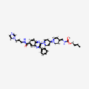 CCCCOC(=O)NCC1CCN(C2CCN(c3nc4ccc(C(=O)NCCCn5ccnc5)cc4nc3-c3ccccc3)CC2)CC1